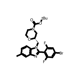 Cc1ccc2c(c1)nc(-c1c(F)cc(Br)cc1F)n2C[C@H]1CN(C(=O)OC(C)(C)C)CCO1